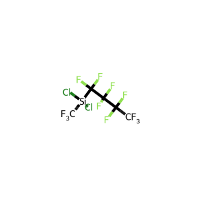 FC(F)(F)C(F)(F)C(F)(F)C(F)(F)[Si](Cl)(Cl)C(F)(F)F